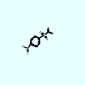 O=C(F)S(=O)(=O)c1ccc([N+](=O)[O-])cc1